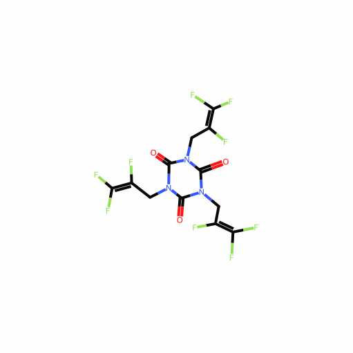 O=c1n(CC(F)=C(F)F)c(=O)n(CC(F)=C(F)F)c(=O)n1CC(F)=C(F)F